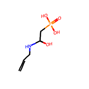 C=CCNC(O)CP(=O)(O)O